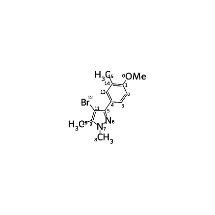 COc1ccc(-c2nn(C)c(C)c2Br)cc1C